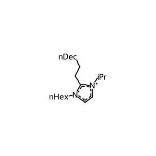 CCCCCCCCCCCCc1n(CCCCCC)cc[n+]1C(C)C